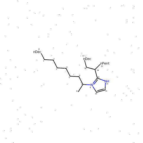 CCCCCCCCCCCCCCCCC(C)[n+]1cc[nH]c1C(CCCCC)CCCCCCCCCCC